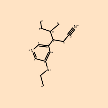 CCSc1cncc(C(CC#N)C(C)CC)c1